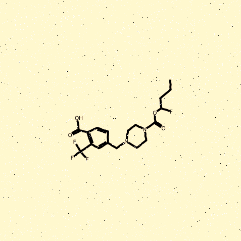 CCCC(F)OC(=O)N1CCN(Cc2ccc(C(=O)O)c(C(F)(F)F)c2)CC1